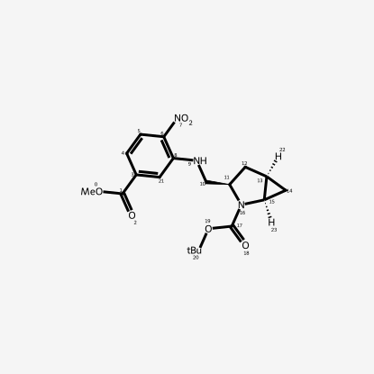 COC(=O)c1ccc([N+](=O)[O-])c(NC[C@H]2C[C@H]3C[C@H]3N2C(=O)OC(C)(C)C)c1